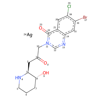 O=C(C[C@@H]1NCCC[C@H]1O)Cn1cnc2cc(Br)c(Cl)cc2c1=O.[Ag]